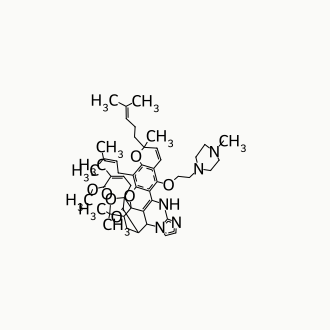 COC(=O)/C(C)=C\CC12OC(C)(C)C3CC(C1=O)C1C4=C(Nc5nccn51)c1c(OCCN5CCN(C)CC5)c5c(c(CC=C(C)C)c1OC432)OC(C)(CCC=C(C)C)C=C5